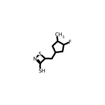 CC1CC(CC2SN=C2S)CC1F